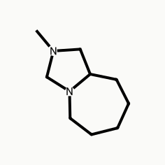 CN1CC2CCCCCN2C1